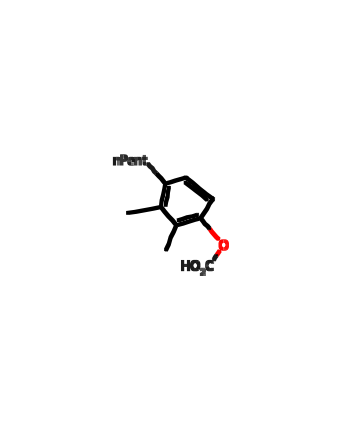 CCCCCc1ccc(OC(=O)O)c(C)c1C